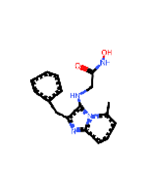 Cc1cccc2nc(Cc3ccccc3)c(NCC(=O)NO)n12